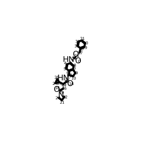 O=C(Nc1ccc2c(c1)CC[C@H]2NC(=O)[C@H](CC(=O)N1CCC1)C1CC1)OCc1ccccc1